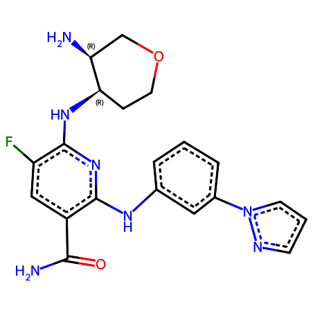 NC(=O)c1cc(F)c(N[C@@H]2CCOC[C@@H]2N)nc1Nc1cccc(-n2cccn2)c1